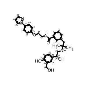 CC(C)(Cc1cccc(C(=O)NCCOc2ccc(-n3cccn3)cc2)c1)NC[C@@H](O)c1ccc(O)c(CO)c1